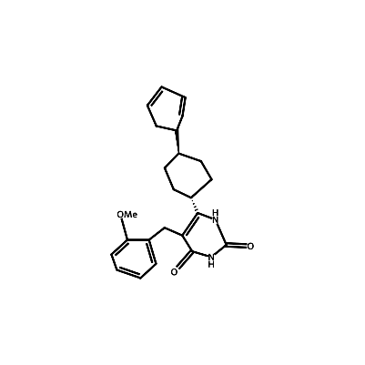 COc1ccccc1Cc1c(=O)[nH]c(=O)[nH]c1[C@H]1CC[C@H](C2C=CC=CC2)CC1